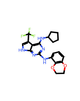 FC(F)(F)c1c[nH]c2nc(Nc3cc[c]c4c3OCCO4)nc(NC3CCCC3)c12